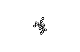 c1ccc(-c2ccc(-c3nc(-c4cc5ccccc5c5ccccc45)nc(-c4c5ccccc5c(-n5c6ccccc6c6cc7ccccc7cc65)c5oc6ccccc6c45)n3)cc2)cc1